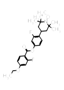 CCOc1ccc(C(=O)Oc2ccc(C3CC(C)(C)N(OC)C(C)(C)C3)c(F)c2)c(F)c1